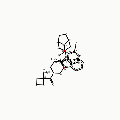 Cc1nc2ccccc2n1C1CC2CCC(C1)N2CCC1(c2cccc(F)c2)CCN(C(=O)C2(C(=O)O)CCC2)CC1